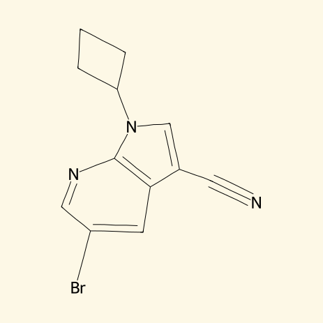 N#Cc1cn(C2CCC2)c2ncc(Br)cc12